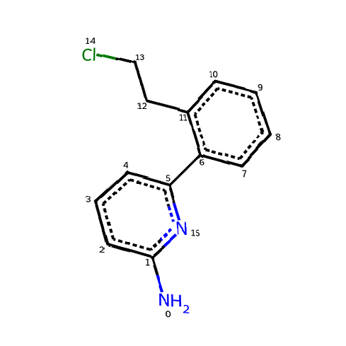 Nc1cccc(-c2ccccc2CCCl)n1